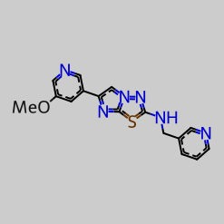 COc1cncc(-c2cn3nc(NCc4cccnc4)sc3n2)c1